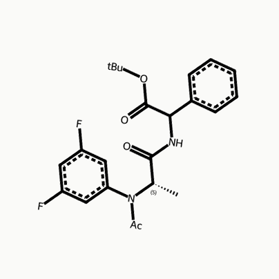 CC(=O)N(c1cc(F)cc(F)c1)[C@@H](C)C(=O)NC(C(=O)OC(C)(C)C)c1ccccc1